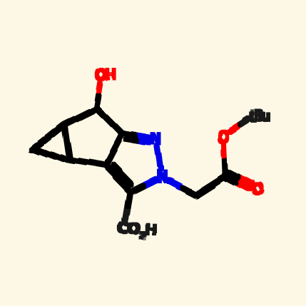 CC(C)(C)OC(=O)Cn1nc2c(c1C(=O)O)C1CC1C2O